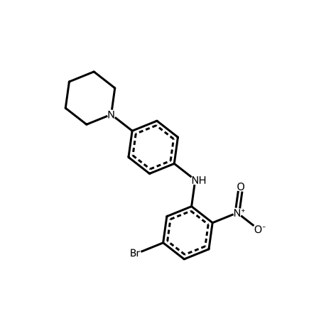 O=[N+]([O-])c1ccc(Br)cc1Nc1ccc(N2CCCCC2)cc1